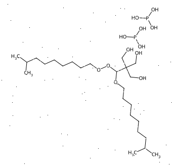 CC(C)CCCCCCCOOC(OCCCCCCCC(C)C)C(CO)(CO)CO.OP(O)O.OP(O)O